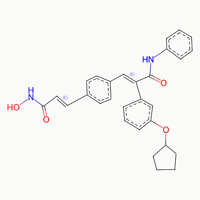 O=C(/C=C/c1ccc(/C=C(/C(=O)Nc2ccccc2)c2cccc(OC3CCCC3)c2)cc1)NO